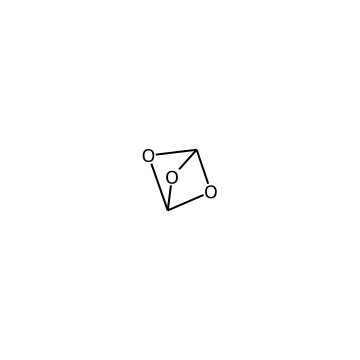 O1C2OC1O2